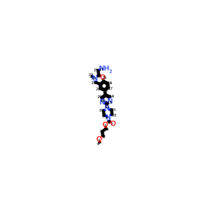 COCCCOC(=O)N1CCN(c2ncc(-c3cccc(CN(C)C(=O)CN)c3)cn2)CC1